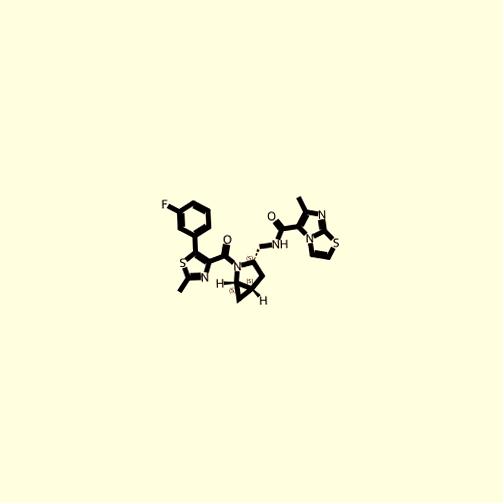 Cc1nc(C(=O)N2[C@H](CNC(=O)c3c(C)nc4sccn34)C[C@@H]3C[C@@H]32)c(-c2cccc(F)c2)s1